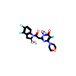 C[C@H]1Cc2c(ccc(F)c2F)N1C(=O)Cc1nc(N2CCOCC2)c(F)c(=O)n1C